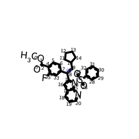 COC(=O)c1ccc(/C(=C\C2CCCC2)c2cc3cccnc3n2S(=O)(=O)c2ccccc2)cc1F